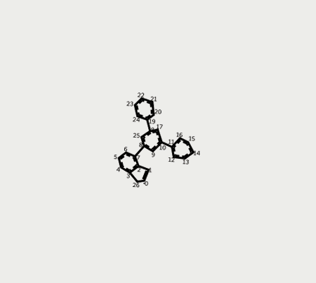 [C]1=Cc2c(cccc2-c2cc(-c3ccccc3)cc(-c3ccccc3)c2)C1